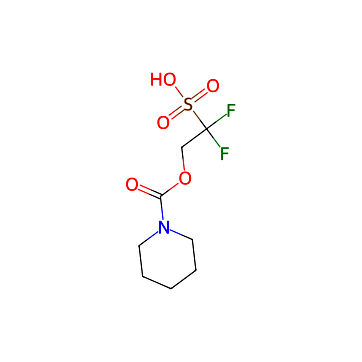 O=C(OCC(F)(F)S(=O)(=O)O)N1CCCCC1